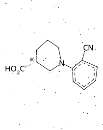 N#Cc1ccccc1N1CCC[C@@H](C(=O)O)C1